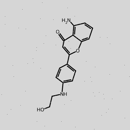 Nc1cccc2oc(-c3ccc(NCCO)cc3)cc(=O)c12